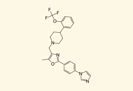 Cc1oc(-c2ccc(-n3ccnc3)cc2)nc1CN1CCC(c2ccccc2OC(F)(F)F)CC1